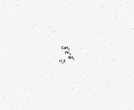 B.P.S.[CaH2]